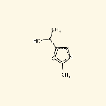 Cc1n[c]c(C(C)O)s1